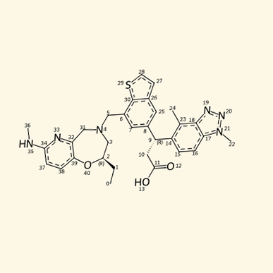 CC[C@@H]1CN(Cc2cc([C@@H](CC(=O)O)c3ccc4c(nnn4C)c3C)cc3ccsc23)Cc2nc(NC)ccc2O1